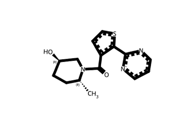 C[C@@H]1CC[C@@H](O)CN1C(=O)c1ccsc1-c1ncccn1